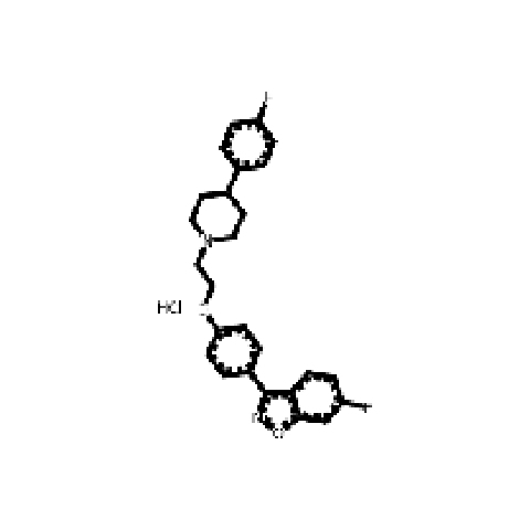 Cl.Fc1ccc(C2CCN(CCOc3ccc(-c4noc5cc(F)ccc45)cc3)CC2)cc1